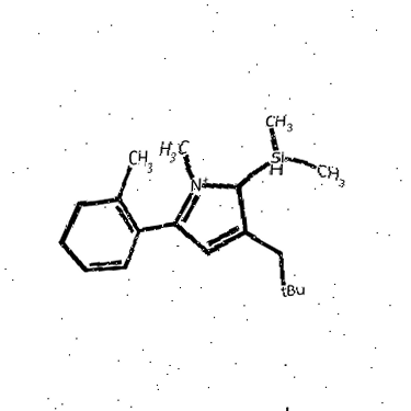 CC1=C(C2=[N+](C)C([SiH](C)C)C(CC(C)(C)C)=C2)C=CCC1